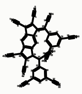 N#CC1=C(C#N)c2cc3c(cc2/C1=C(/C#N)c1cc(C#N)cc(C#N)c1)C(C(C#N)c1cc(C#N)cc(C#N)c1)C(C#N)=C3C#N